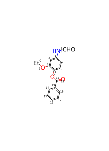 CCOc1cc(NC=O)ccc1OC(=O)c1ccccc1